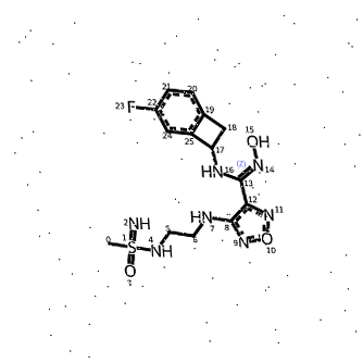 CS(=N)(=O)NCCNc1nonc1/C(=N/O)NC1Cc2ccc(F)cc21